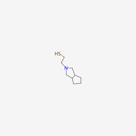 SCCN1CC2CCCC2C1